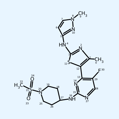 Cc1nc(Nc2ccn(C)n2)sc1-c1nc(NC2CCN(S(C)(=O)=O)CC2)ncc1F